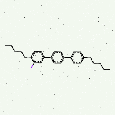 CCCCCc1ccc(-c2ccc(-c3ccc(CCCCC)c(I)c3)cc2)cc1